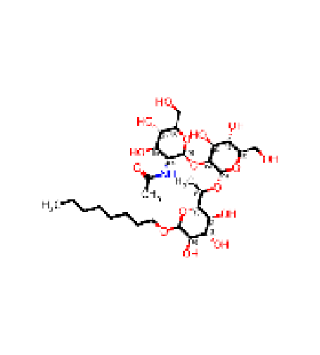 CCCCCCCCOC1O[C@H]([C@@H](C)O[C@H]2O[C@H](CO)[C@@H](O)[C@H](O)[C@@H]2O[C@@H]2O[C@H](CO)[C@@H](O)[C@H](O)[C@H]2NC(C)=O)[C@@H](O)[C@H](O)[C@H]1O